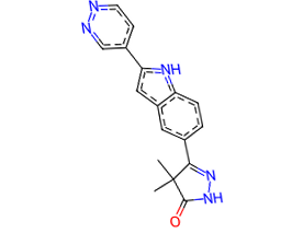 CC1(C)C(=O)NN=C1c1ccc2[nH]c(-c3ccnnc3)cc2c1